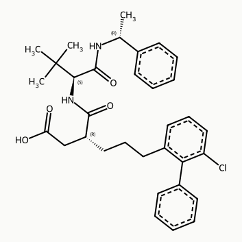 C[C@@H](NC(=O)[C@@H](NC(=O)[C@H](CCCc1cccc(Cl)c1-c1ccccc1)CC(=O)O)C(C)(C)C)c1ccccc1